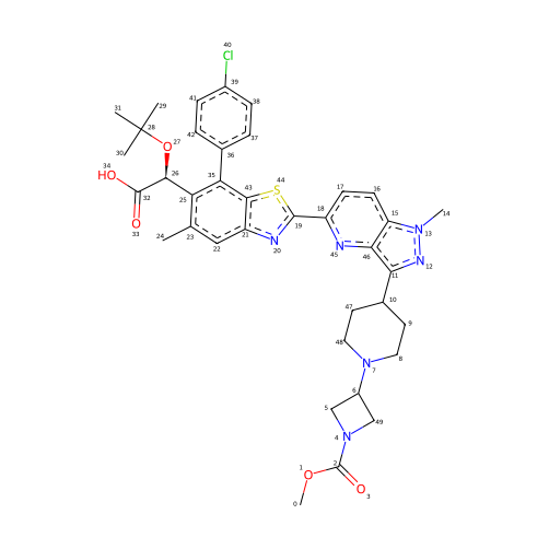 COC(=O)N1CC(N2CCC(c3nn(C)c4ccc(-c5nc6cc(C)c([C@H](OC(C)(C)C)C(=O)O)c(-c7ccc(Cl)cc7)c6s5)nc34)CC2)C1